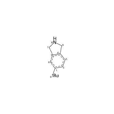 CC(C)(C)c1ccc2c(c1)CNC2